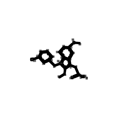 CCc1c(CC(N)=O)c2cc(OC)ccc2n1Cc1cccc(Cl)c1